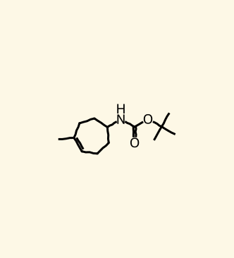 CC1=CCCC(NC(=O)OC(C)(C)C)CC1